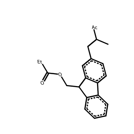 CCC(=O)OCC1c2ccccc2-c2ccc(CC(C)C(C)=O)cc21